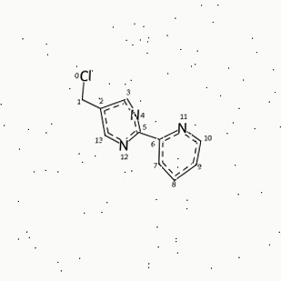 ClCc1cnc(-c2ccccn2)nc1